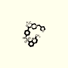 C=C/C=C\c1cccc(S(=O)(=O)Nc2ccc(C(=O)N3CCN(CC4CCOC4)C[C@H]3C)cc2)c1N